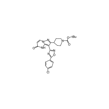 CC(C)(C)OC(=O)N1CCC(c2nn3ccc(=O)[nH]c3c2-c2noc(-c3ccc(Cl)cc3)n2)CC1